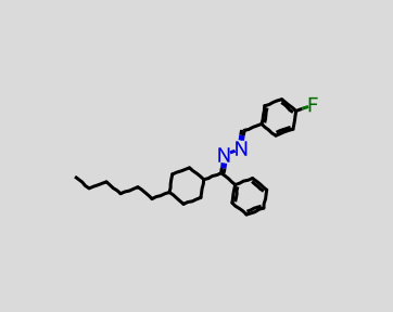 CCCCCCC1CCC(C(=NN=Cc2ccc(F)cc2)c2ccccc2)CC1